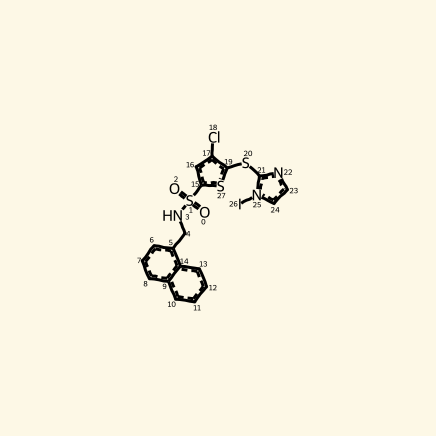 O=S(=O)(NCc1cccc2ccccc12)c1cc(Cl)c(Sc2nccn2I)s1